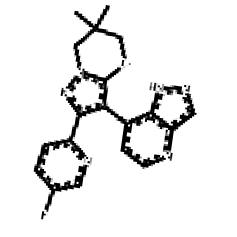 CC1(C)COc2c(-c3ccnc4cn[nH]c34)c(-c3ccc(F)cn3)nn2C1